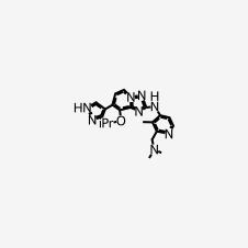 Cc1c(Nc2nc3c(OC(C)C)c(-c4cn[nH]c4)ccn3n2)ccnc1CN(C)C